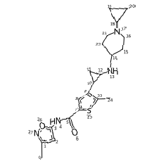 Cc1cc(NC(=O)c2cc(C3CC3NC3CCN(C4CC4)CC3)c(C)s2)on1